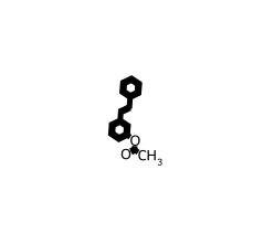 CC(=O)Oc1cccc(/C=C/c2ccccc2)c1